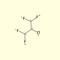 FC(F)C(Cl)C(F)F